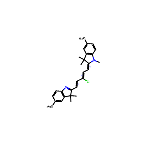 COc1ccc2c(c1)C(C)(C)C(/C=C/C(Cl)=C/C=C1/N(C)c3ccc(OC)cc3C1(C)C)=N2